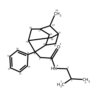 CC(C)CNC(=O)CC1(c2ccccc2)C2CC3CC1CC(C2)C3C